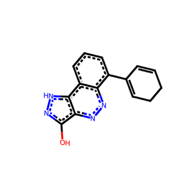 Oc1n[nH]c2c1nnc1c(C3=CCCC=C3)cccc12